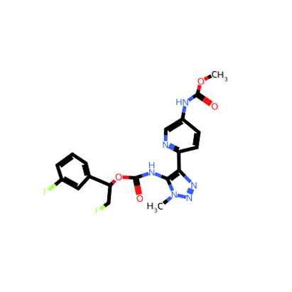 COC(=O)Nc1ccc(-c2nnn(C)c2NC(=O)OC(CF)c2cccc(F)c2)nc1